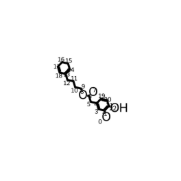 COc1cc(CC(=O)OCCCCC2=CCCC=C2)ccc1O